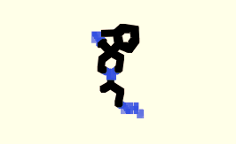 Cc1ccccc1C1(C#N)CCN(C(C)CCN)CC1